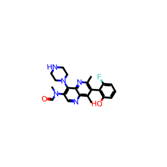 Cc1nc2c(N3CCNCC3)c(N(C)C=O)cnc2c(C)c1-c1c(O)cccc1F